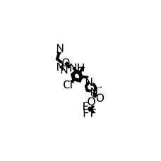 Cc1c(CN2CCN(C(=O)OCC(F)(F)F)[C@@H](C)C2)cc(Cl)cc1Nc1nnc(CC#N)o1